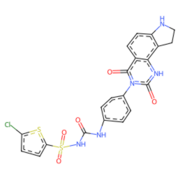 O=C(Nc1ccc(-n2c(=O)[nH]c3c4c(ccc3c2=O)NCC4)cc1)NS(=O)(=O)c1ccc(Cl)s1